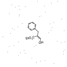 CCOC(=O)/C(=C\O)Cc1ccccc1